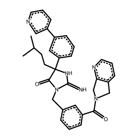 CC(C)CCC1(c2cccc(-c3cccnc3)c2)NC(=N)N(Cc2cccc(C(=O)N3Cc4cccnc4C3)c2)C1=O